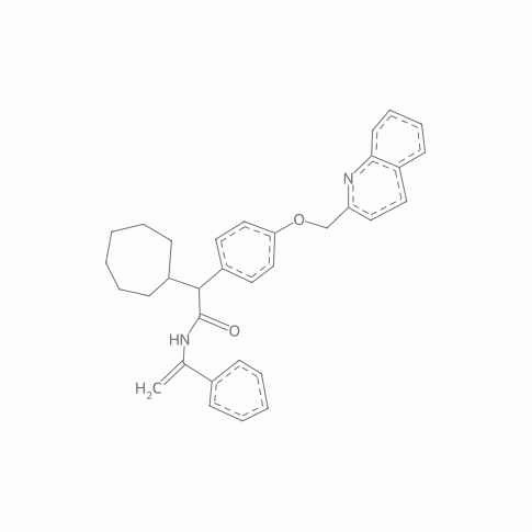 C=C(NC(=O)C(c1ccc(OCc2ccc3ccccc3n2)cc1)C1CCCCCC1)c1ccccc1